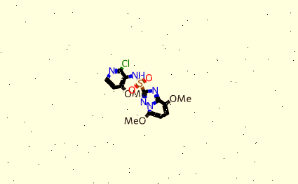 COc1ccnc(Cl)c1NS(=O)(=O)c1nc2c(OC)ccc(OC)n2n1